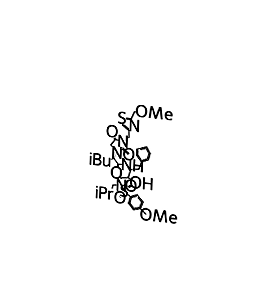 CC[C@H](C)[C@@H](C(=O)N[C@@H](Cc1ccccc1)[C@@H](O)CN(CC(C)C)S(=O)(=O)c1ccc(OC)cc1)N1CC(=O)N(Cc2csc(COC)n2)C1=O